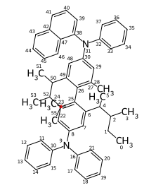 CCC(C)C(C)c1cc(N(c2ccccc2)c2ccccc2)cc(C)c1-c1c(C)cc(N(c2ccccc2)c2cccc3ccccc23)cc1C(C)C(C)CC